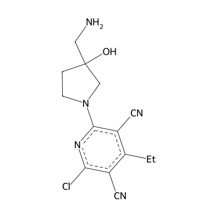 CCc1c(C#N)c(Cl)nc(N2CCC(O)(CN)C2)c1C#N